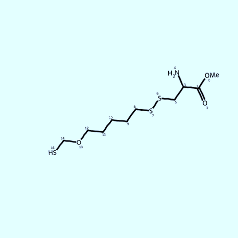 COC(=O)C(N)CSSCCCCCOCS